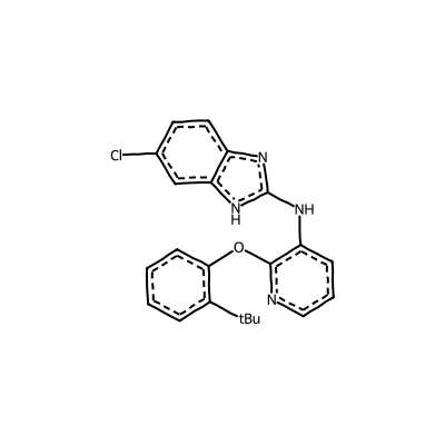 CC(C)(C)c1ccccc1Oc1ncccc1Nc1nc2ccc(Cl)cc2[nH]1